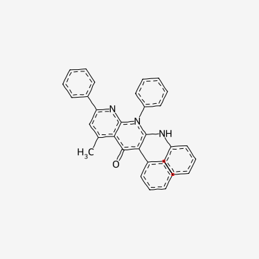 Cc1cc(-c2ccccc2)nc2c1c(=O)c(-c1ccccc1)c(Nc1ccccc1)n2-c1ccccc1